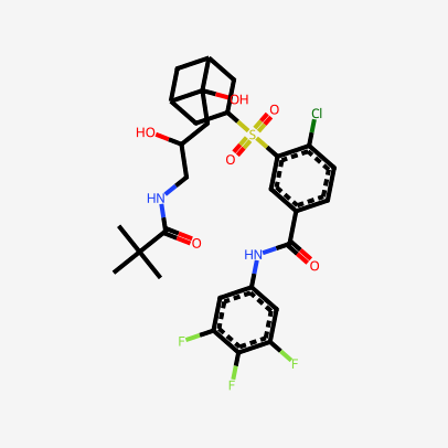 CC(C)(C)C(=O)NCC(O)CC1(O)C2CC1CC(S(=O)(=O)c1cc(C(=O)Nc3cc(F)c(F)c(F)c3)ccc1Cl)C2